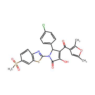 Cc1cc(C(=O)C2=C(O)C(=O)N(c3nc4ccc(S(C)(=O)=O)cc4s3)C2c2ccc(Cl)cc2)c(C)o1